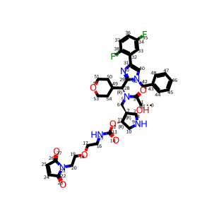 C[C@H](O)C(=O)N(C[C@H]1CNC[C@@H]1OC(=O)NCCOCCN1C(=O)C=CC1=O)[C@@H](c1nc(-c2cc(F)ccc2F)cn1Cc1ccccc1)C1CCOCC1